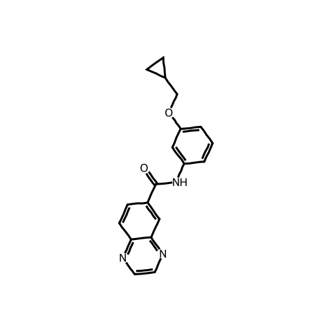 O=C(Nc1cccc(OCC2CC2)c1)c1ccc2nccnc2c1